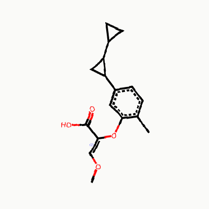 CO/C=C(\Oc1cc(C2CC2C2CC2)ccc1C)C(=O)O